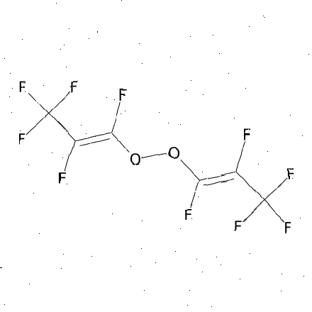 FC(OOC(F)=C(F)C(F)(F)F)=C(F)C(F)(F)F